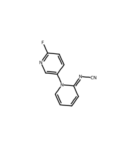 N#CN=c1ccccn1-c1ccc(F)nc1